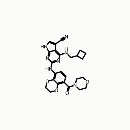 N#Cc1c[nH]c2nc(Nc3ccc(C(=O)N4CCOCC4)c4c3OCCO4)nc(NCC3CCC3)c12